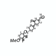 COc1ccc(OCc2ccc(-c3ccc(C4CO4)cc3F)cc2)c(F)c1F